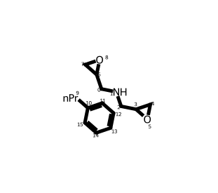 C(NCC1CO1)C1CO1.CCCc1ccccc1